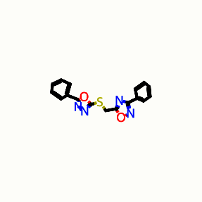 c1ccc(-c2noc(CSc3nnc(-c4ccccc4)o3)n2)cc1